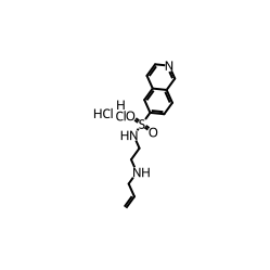 C=CCNCCNS(=O)(=O)c1ccc2cnccc2c1.Cl.Cl